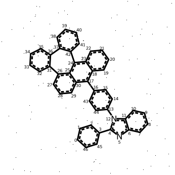 c1ccc(-c2nc3ccccc3n2-c2ccc(-c3c4ccccc4c4c5c(cccc35)-c3ccccc3-c3ccccc3-4)cc2)cc1